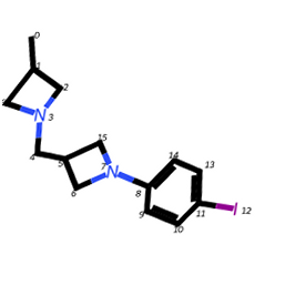 CC1CN(CC2CN(c3ccc(I)cc3)C2)C1